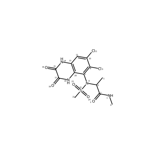 CNC(=O)C(C)N(c1c(Cl)c(Cl)cc2[nH]c(=O)c(=O)[nH]c12)S(C)(=O)=O